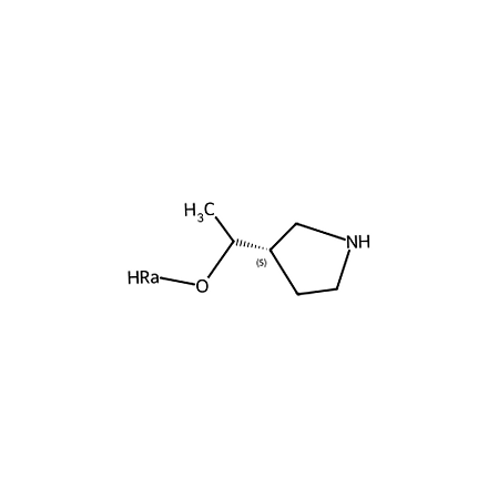 CC([O][RaH])[C@H]1CCNC1